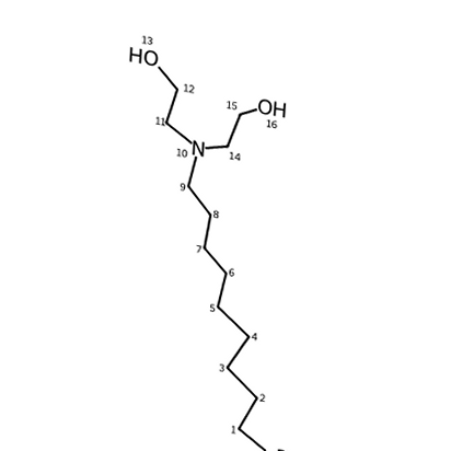 CCCCCCCCCCCCCCCCCCCN(CCO)CCO